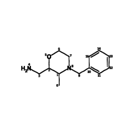 CC1C(CN)OCCN1Cc1ccccc1